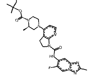 Cc1nc2cc(NC(=O)N3CCc4c(N5CCN(C(=O)OC(C)(C)C)[C@H](C)C5)ccnc43)c(F)cn2n1